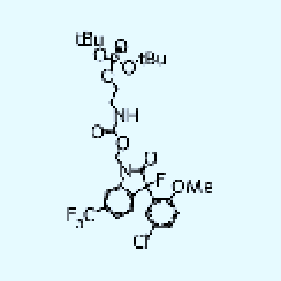 COc1ccc(Cl)cc1C1(F)C(=O)N(COC(=O)NCCOP(=O)(OC(C)(C)C)OC(C)(C)C)c2cc(C(F)(F)F)ccc21